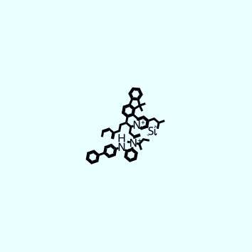 C=C(/C=C\C)CCC1c2ccc3c(c2-c2cc(CC(C)C)c([Si](C)(C)C)c[n+]2C1CC(=C)[N+](C)(c1ccccc1Nc1ccc(-c2ccccc2)cc1)C(C)CC)C(C)(C)c1ccccc1-3